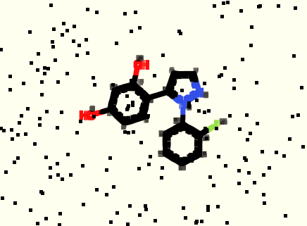 Oc1ccc(-c2ccnn2-c2ccccc2F)c(O)c1